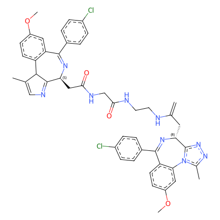 C=C(C[C@H]1N=C(c2ccc(Cl)cc2)c2ccc(OC)cc2-n2c(C)nnc21)NCCNC(=O)CNC(=O)C[C@@H]1N=C(c2ccc(Cl)cc2)c2cc(OC)ccc2C2C(C)=CN=C21